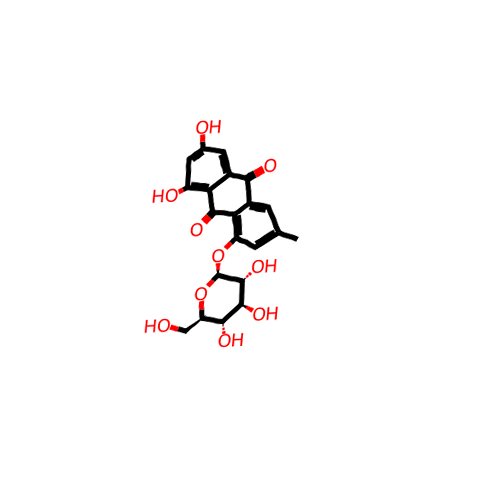 Cc1cc(O[C@@H]2O[C@H](CO)[C@@H](O)[C@H](O)[C@H]2O)c2c(c1)C(=O)c1cc(O)cc(O)c1C2=O